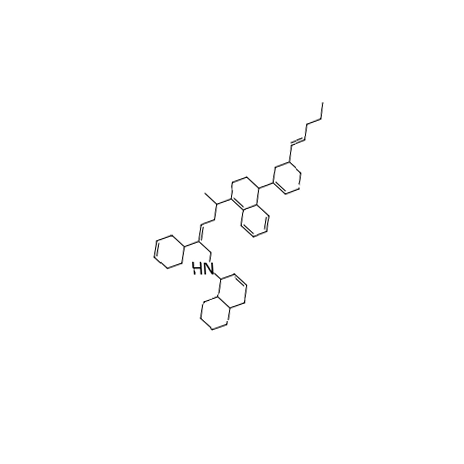 CCC/C=C/C1CCC=C(C2CCC(C(C)C/C=C(\CNC3C=CCC4CCCCC43)C3CC=CCC3)=C3C=CC=CC32)C1